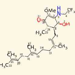 COC1=C(NCC(F)(F)F)[C@@H](O)[C@@H](C/C=C(\C)CC/C=C(\C)CCC=C(C)C)[C@H](C)C1=O